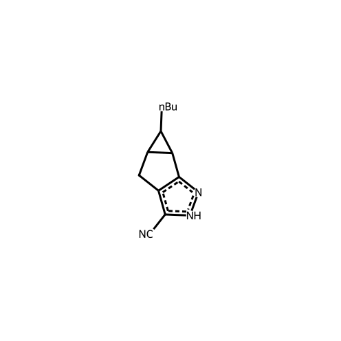 CCCCC1C2Cc3c(n[nH]c3C#N)C12